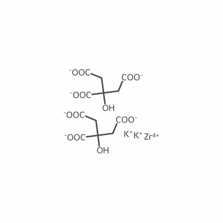 O=C([O-])CC(O)(CC(=O)[O-])C(=O)[O-].O=C([O-])CC(O)(CC(=O)[O-])C(=O)[O-].[K+].[K+].[Zr+4]